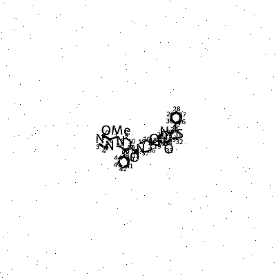 COc1nccnc1CN1CC[C@@H](C(=O)N2CCC(O)(Cn3cnc4c(-c5ccccc5)scc4c3=O)CC2)[C@H](c2ccccc2)C1